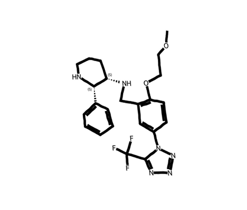 COCCOc1ccc(-n2nnnc2C(F)(F)F)cc1CN[C@H]1CCCN[C@H]1c1ccccc1